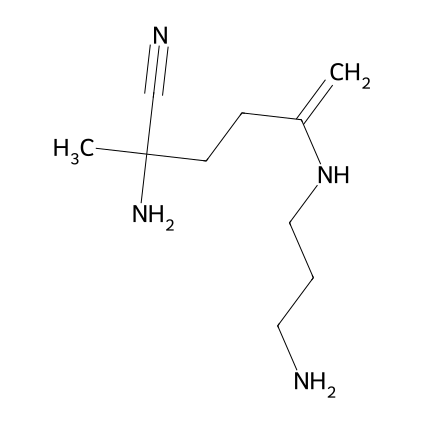 C=C(CCC(C)(N)C#N)NCCCN